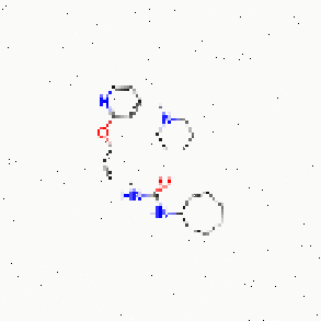 O=C(NC/C=C\COc1cc(CN2CCCCC2)ccn1)NC1CCCCCC1